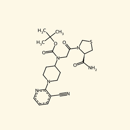 CC(C)(C)OC(=O)N(CC(=O)N1CSC[C@H]1C(N)=O)C1CCN(c2ncccc2C#N)CC1